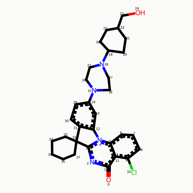 O=c1nc2n(c3cccc(Cl)c13)-c1cc(N3CCN(C4CCC(CO)CC4)CC3)ccc1C21CCCCC1